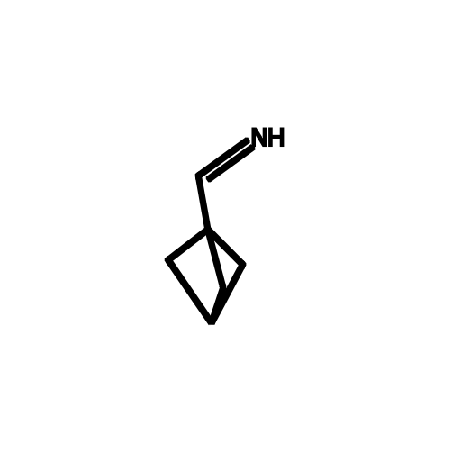 N=CC12CC(C1)C2